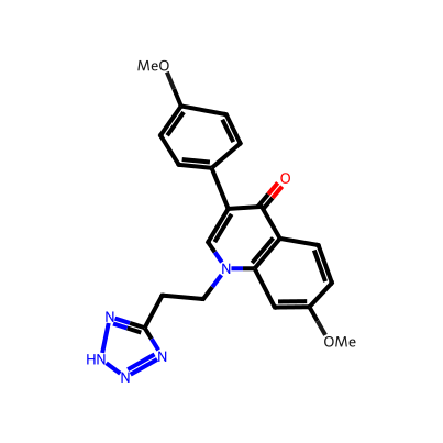 COc1ccc(-c2cn(CCc3nn[nH]n3)c3cc(OC)ccc3c2=O)cc1